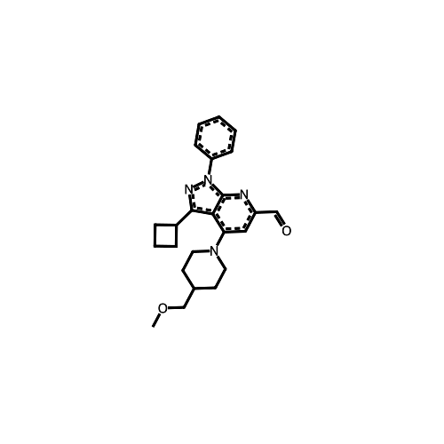 COCC1CCN(c2cc(C=O)nc3c2c(C2CCC2)nn3-c2ccccc2)CC1